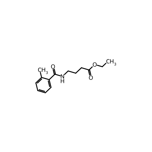 CCOC(=O)CCCNC(=O)c1ccccc1C